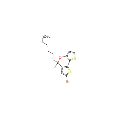 CCCCCCCCCCCCCCCC1(C)Oc2ccsc2-c2sc(Br)cc21